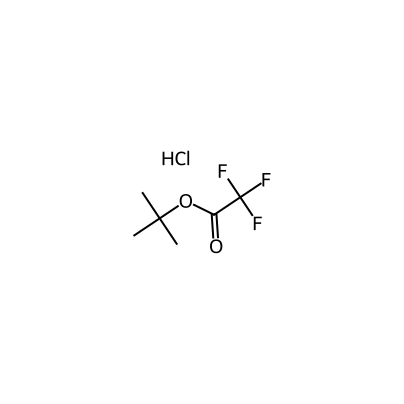 CC(C)(C)OC(=O)C(F)(F)F.Cl